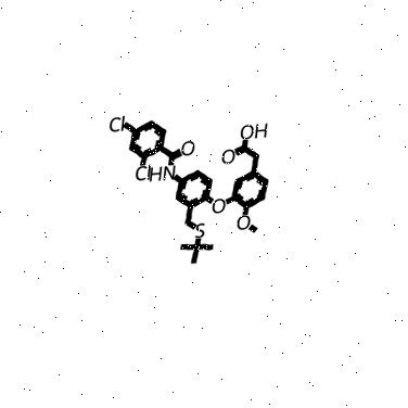 COc1ccc(CC(=O)O)cc1Oc1ccc(NC(=O)c2ccc(Cl)cc2Cl)cc1CSC(C)(C)C